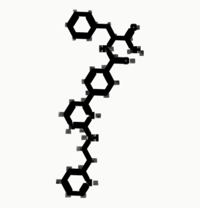 NC(=O)C(Cc1ccccc1)NC(=O)c1ccc(-c2ccnc(NCCc3ccccn3)n2)cc1